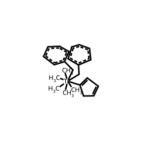 [CH3][Ti]([CH3])([CH3])([CH3])([CH3])([CH2]c1ccccc1)([CH2]c1ccccc1)[C]1=CC=CC1